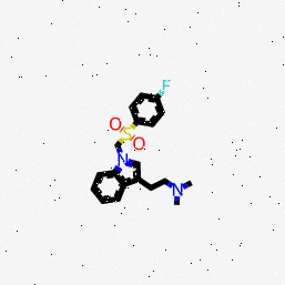 CN(C)CCc1cn(CS(=O)(=O)c2ccc(F)cc2)c2ccccc12